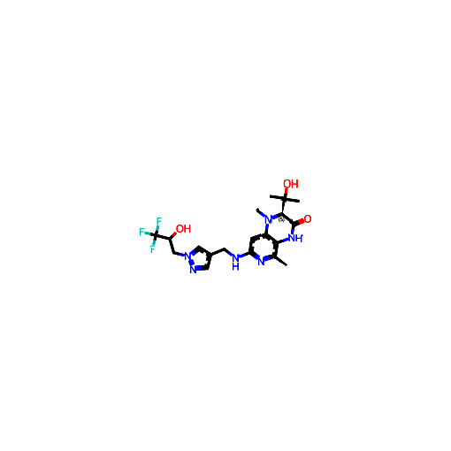 Cc1nc(NCc2cnn(CC(O)C(F)(F)F)c2)cc2c1NC(=O)[C@H](C(C)(C)O)N2C